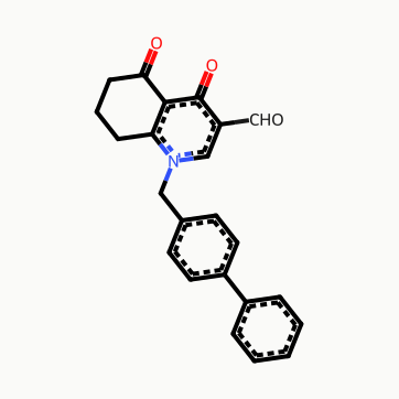 O=Cc1cn(Cc2ccc(-c3ccccc3)cc2)c2c(c1=O)C(=O)CCC2